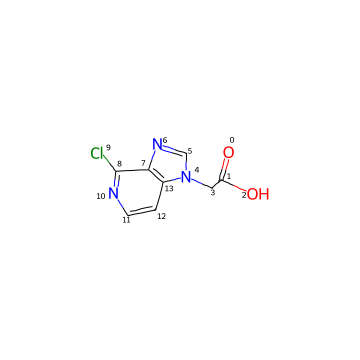 O=C(O)Cn1cnc2c(Cl)nccc21